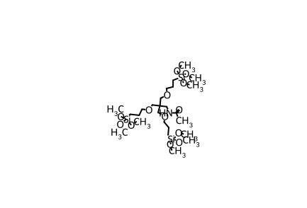 CO[Si](CCCOCC(CNC(C)=O)(COCCC[Si](OC)(OC)OC)COCCC[Si](OC)(OC)OC)(OC)OC